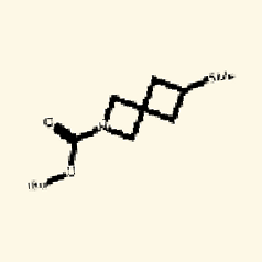 CSC1CC2(C1)CN(C(=O)OC(C)(C)C)C2